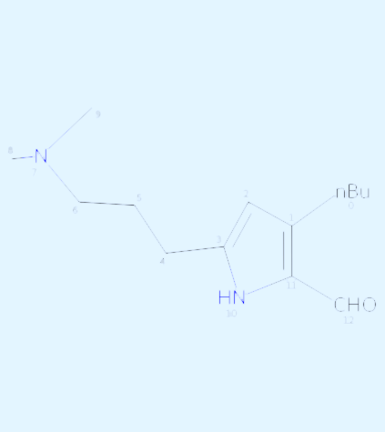 CCCCc1cc(CCCN(C)C)[nH]c1C=O